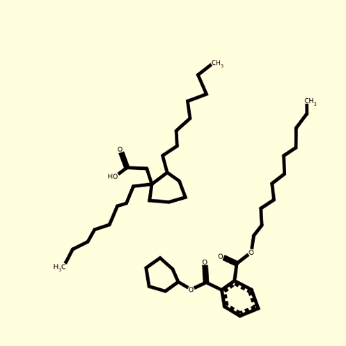 CCCCCCCCC1CCCCC1(CCCCCCCC)CC(=O)O.CCCCCCCCCCCOC(=O)c1ccccc1C(=O)OC1CCCCC1